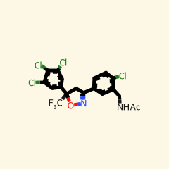 CC(=O)NCc1cc(C2=NOC(c3cc(Cl)c(Cl)c(Cl)c3)(C(F)(F)F)C2)ccc1Cl